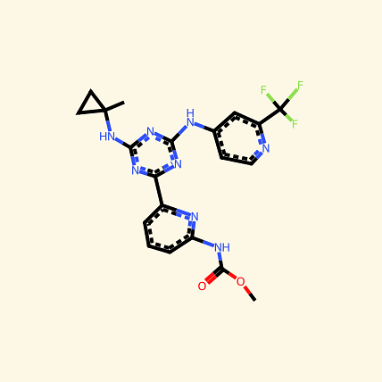 COC(=O)Nc1cccc(-c2nc(Nc3ccnc(C(F)(F)F)c3)nc(NC3(C)CC3)n2)n1